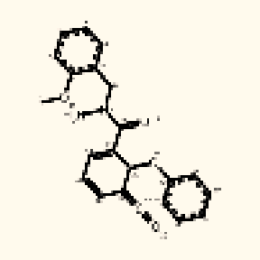 COc1ccccc1CN(N)C(=O)C1=CC=CC(=C=O)C1Oc1ccccc1